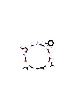 C/C=C(\C)[C@H]1OC(=O)[C@@H](C)N(C)C(=O)[C@H]([C@@H](C)CC)NC(=O)CN(C)C(=O)[C@@H](Cc2ccccc2)N(C)C(=O)[C@H](C)NC(=O)[C@@H](CC(C)C)OC(=O)/C(C)=C/CC[C@@H]1C